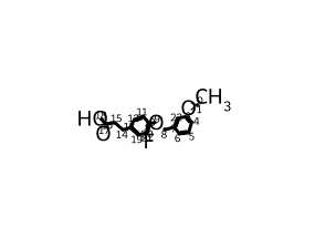 CCOc1cccc(COc2ccc(CCC(=O)O)cc2F)c1